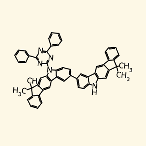 CC1(C)c2ccccc2-c2cc3c(cc21)[nH]c1ccc(-c2ccc4c(c2)c2cc5c(cc2n4-c2nc(-c4ccccc4)nc(-c4ccccc4)n2)C(C)(C)c2ccccc2-5)cc13